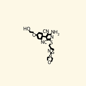 N#Cc1c(N)nc(SCc2csc(N3CCOCC3)n2)c(C#N)c1-c1ccc(OCCO)cc1